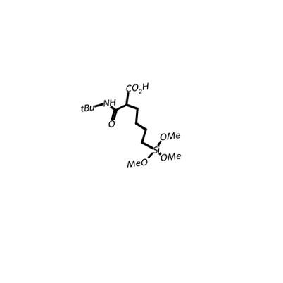 CO[Si](CCCCC(C(=O)O)C(=O)NC(C)(C)C)(OC)OC